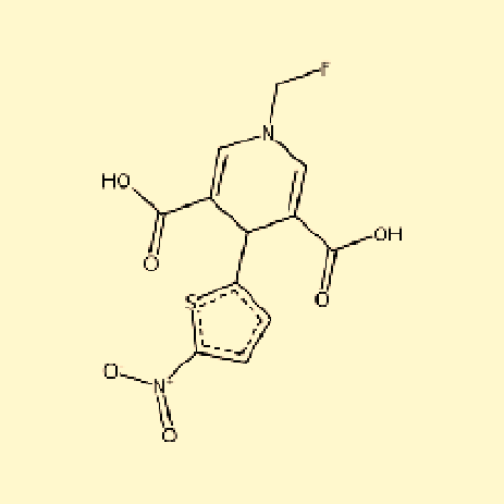 O=C(O)C1=CN(CF)C=C(C(=O)O)C1c1ccc([N+](=O)[O-])s1